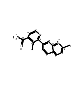 Cc1ccc2ccc(-c3nccc(C(N)=O)c3C)cc2n1